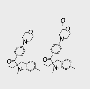 C=O.CCC(Cc1ccc(C)cc1)(C(=O)c1ccc(N2CCOCC2)cc1)N(C)C.CCC(Cc1ccc(C)cc1)(C(=O)c1ccc(N2CCOCC2)cc1)N(C)C